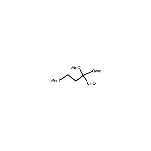 CCCCCCCC(C=O)(OC)OC